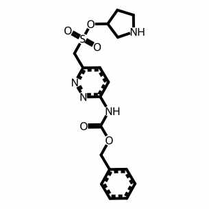 O=C(Nc1ccc(CS(=O)(=O)OC2CCNC2)nn1)OCc1ccccc1